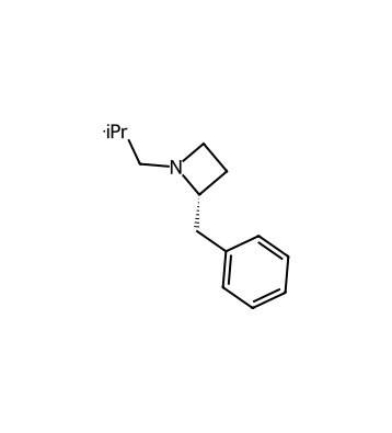 C[C](C)CN1CC[C@@H]1Cc1ccccc1